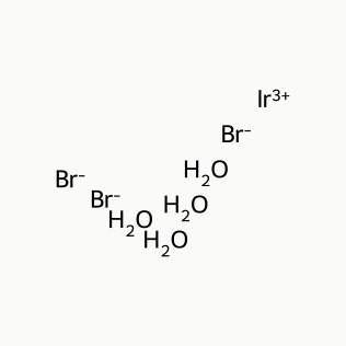 O.O.O.O.[Br-].[Br-].[Br-].[Ir+3]